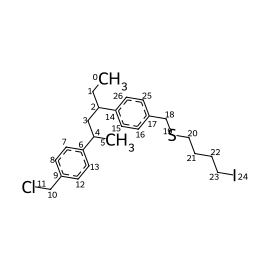 CCC(CC(C)c1ccc(CCl)cc1)c1ccc(CSCCCCI)cc1